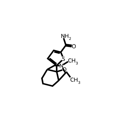 COC1(c2ccc(C(N)=O)s2)C2CCCC1CN(C)C2